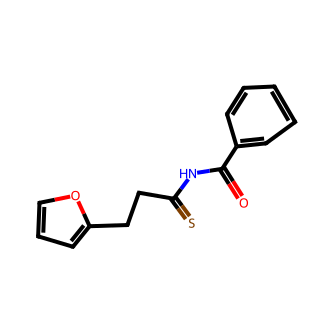 O=C(NC(=S)CCc1ccco1)c1ccccc1